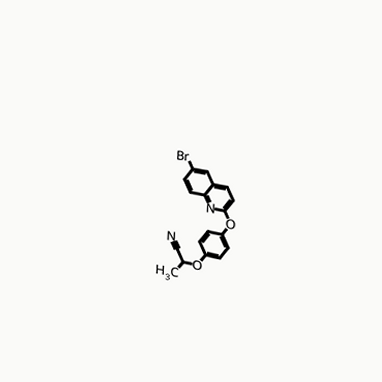 CC(C#N)Oc1ccc(Oc2ccc3cc(Br)ccc3n2)cc1